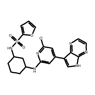 O=S(=O)(NC1CCCC(Nc2cc(-c3c[nH]c4nccnc34)cc(Cl)n2)C1)c1ccco1